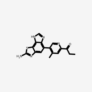 CCC(=O)c1cc(C)c(-c2cc3nc(N)sc3c3[nH]cnc23)cn1